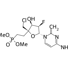 C=C1N=C(N)C=CN1[C@@H]1O[C@](CCl)(CCP(=O)(OC)OC)[C@@H](O)[C@H]1F